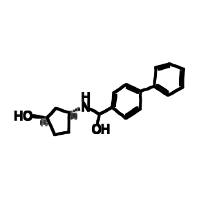 OC(N[C@@H]1CC[C@@H](O)C1)c1ccc(-c2ccccc2)cc1